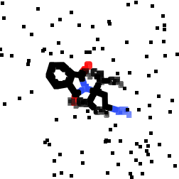 C[SiH](C)C(CCN)(N1C(=O)c2ccccc2C1=O)[SiH](C)C